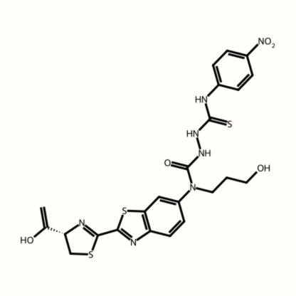 C=C(O)[C@H]1CSC(c2nc3ccc(N(CCCO)C(=O)NNC(=S)Nc4ccc([N+](=O)[O-])cc4)cc3s2)=N1